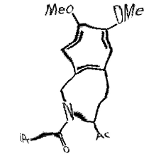 COc1cc2c(cc1OC)CN(C(=O)C(C)C)C(C(C)=O)C2